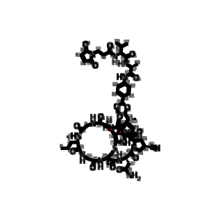 CC[C@H](C)[C@@H]1NC(=O)CNC(=O)[C@@H]2Cc3c([nH]c4ccccc34)SC[C@H](NC(=O)CNC1=O)C(=O)N[C@@H](CC(N)=O)C(=O)N1C[C@H](C#N)C[C@H]1C(=O)N[C@@H]([C@@H](C)[C@@H]1COC(c3ccc(NC(=O)[C@H](C)NC(=O)[C@@H](NC(=O)CCN4C(=O)C=CC4=O)C(C)C)cc3)O1)C(=O)N2